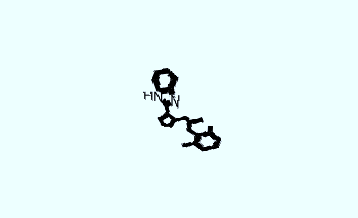 C=C(CC1=CCC=C1c1nc2ccccc2[nH]1)Cc1c(C)cccc1C